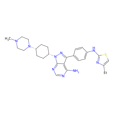 CCc1csc(Nc2ccc(-c3nn([C@H]4CC[C@@H](N5CCN(C)CC5)CC4)c4ncnc(N)c34)cc2)n1